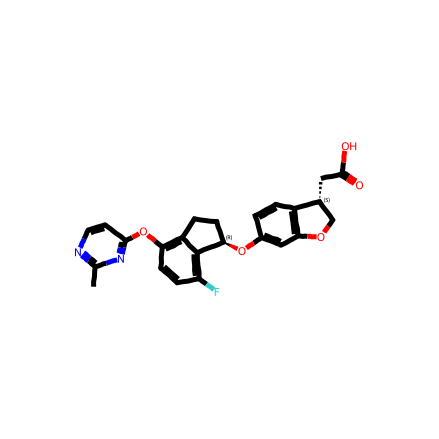 Cc1nccc(Oc2ccc(F)c3c2CC[C@H]3Oc2ccc3c(c2)OC[C@H]3CC(=O)O)n1